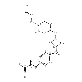 COCCN1CCC(OC2CC(Oc3ccc(CNC(C)=O)cc3)C2)CC1